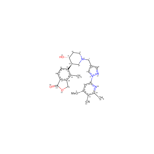 COc1cc(-n2cc(CN3CC[C@@H](O)[C@H](c4ccc5c(c4C)COC5=O)C3)cn2)nc(C)c1C#N